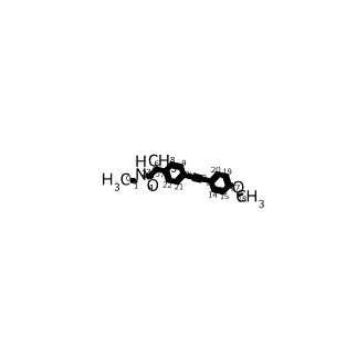 CCNC(=O)C(C)c1ccc(C#Cc2ccc(OC)cc2)cc1